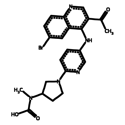 CC(=O)c1cnc2ccc(Br)cc2c1Nc1ccc(N2CCC(N(C)C(=O)O)C2)nc1